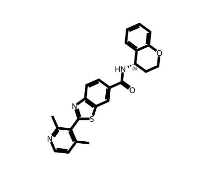 Cc1ccnc(C)c1-c1nc2ccc(C(=O)N[C@H]3CCOc4ccccc43)cc2s1